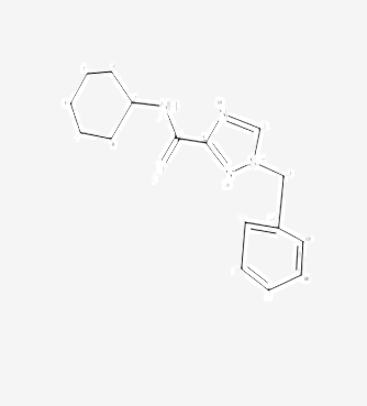 O=C(NC1CCCCC1)c1ncn(Cc2ccccc2)n1